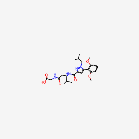 COc1cccc(OC)c1-c1cc(C(=O)NC(CC(=O)NCC(=O)O)C(C)C)nn1CC(C)C